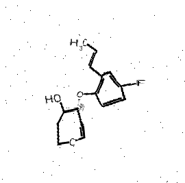 CC=Cc1cc(F)ccc1O[C@@H]1C=CCCCC1O